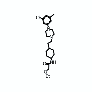 CCOCC(=O)NC1CCC(CCN2CCN(c3cc(C)cc(Cl)c3)CC2)CC1